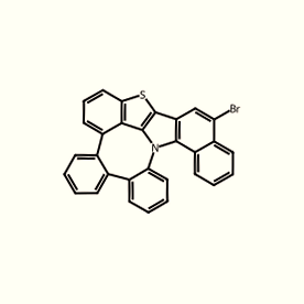 Brc1cc2c3sc4cccc5c6ccccc6c6ccccc6n(c2c2ccccc12)c3c45